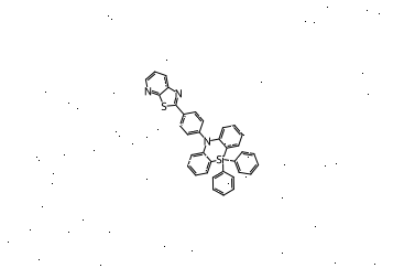 c1ccc([Si]2(c3ccccc3)c3ccccc3N(c3ccc(-c4nc5cccnc5s4)cc3)c3ccccc32)cc1